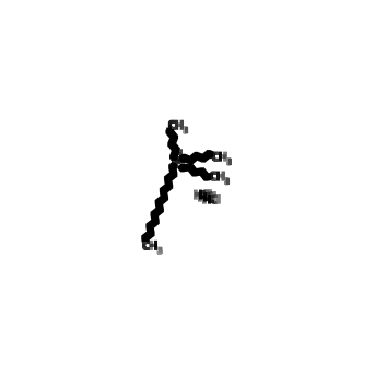 CCCCCCCCCCCCCC[PH](CCCCCC)(CCCCCC)CCCCCC.Cl.Cl.Cl